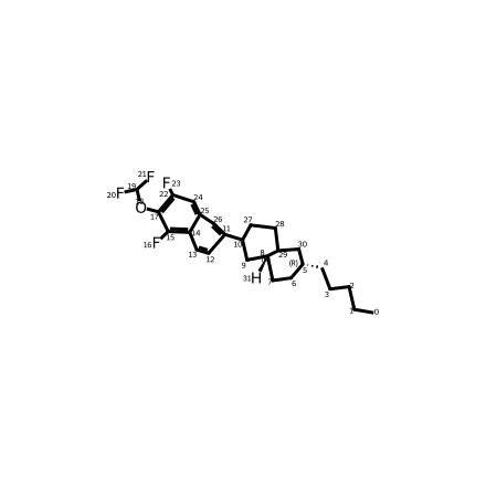 CCCCC[C@@H]1CC[C@@H]2CC(c3ccc4c(F)c(OC(F)F)c(F)cc4c3)CCC2C1